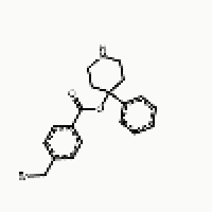 O=C(OC1(c2ccccc2)CCNCC1)c1ccc(CBr)cc1